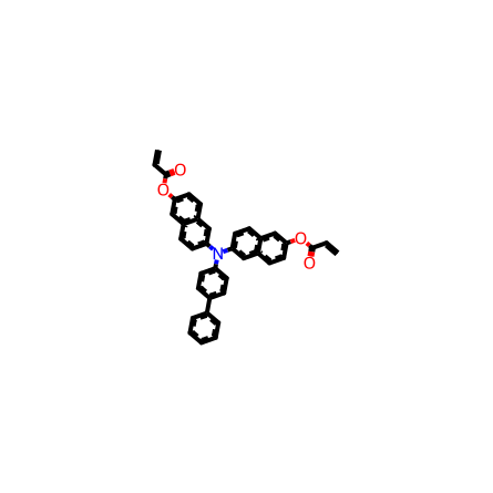 C=CC(=O)Oc1ccc2cc(N(c3ccc(-c4ccccc4)cc3)c3ccc4cc(OC(=O)C=C)ccc4c3)ccc2c1